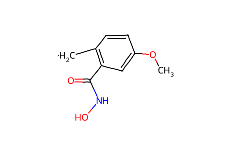 [CH2]c1ccc(OC)cc1C(=O)NO